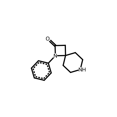 O=C1CC2(CCNCC2)N1c1ccccc1